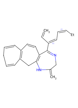 C=C/C(=C\C=C/CC)C1=NCC(=C)NC2=C1C=CC1=C(C=CCC=C1)C2